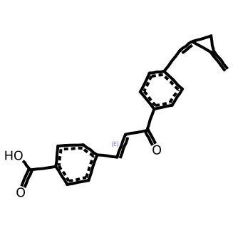 C=C1CC1=Cc1ccc(C(=O)/C=C/c2ccc(C(=O)O)cc2)cc1